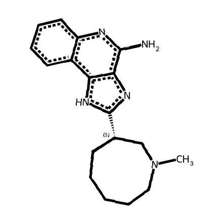 CN1CCCCC[C@H](c2nc3c(N)nc4ccccc4c3[nH]2)C1